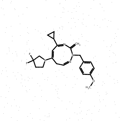 C=C1/N=C(C2CC2)\C=C(\N2CCC(F)(F)C2)C/C=N\N1Cc1ccc(OC)cc1